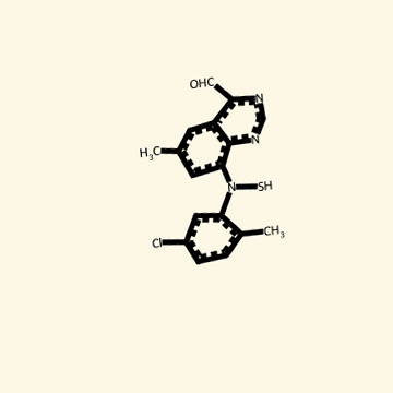 Cc1cc(N(S)c2cc(Cl)ccc2C)c2ncnc(C=O)c2c1